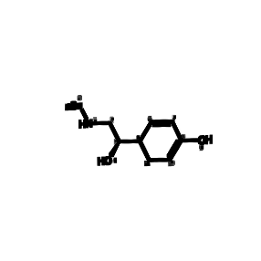 CCCCNC[C@H](O)C1C=CC(O)=CC1